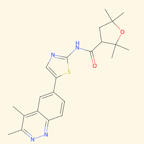 Cc1nnc2ccc(-c3cnc(NC(=O)C4CC(C)(C)OC4(C)C)s3)cc2c1C